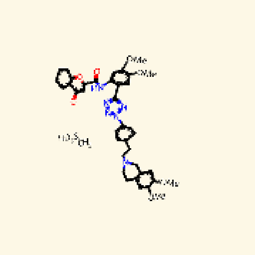 COc1cc2c(cc1OC)CN(CCc1ccc(-n3nnc(-c4cc(OC)c(OC)cc4NC(=O)c4cc(=O)c5ccccc5o4)n3)cc1)CC2.CS(=O)(=O)O